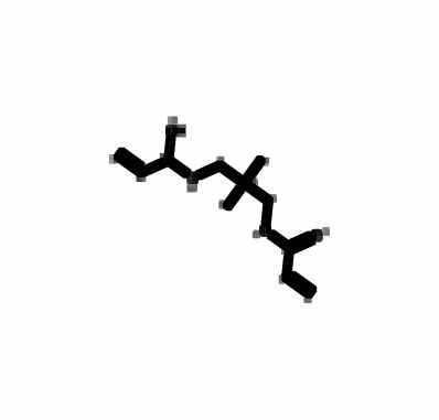 C=CC(=O)OCC(C)(C)COC(O)C=C